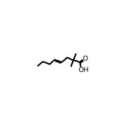 CCCC=CCC(C)(C)C(=O)O